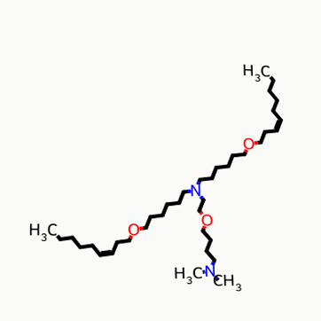 CCCCC/C=C\CCOCCCCCCN(CCCCCCOCC/C=C\CCCCC)CCOCCCCN(C)C